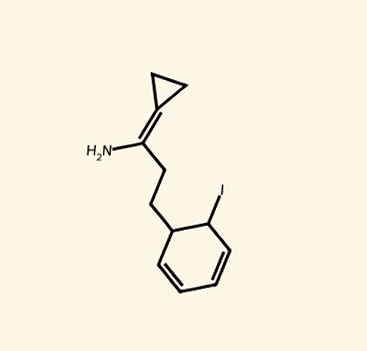 NC(CCC1C=CC=CC1I)=C1CC1